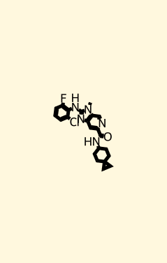 Cn1c(Nc2c(F)cccc2Cl)nc2cc(C(=O)NC3CCC4(CC3)CC4)ncc21